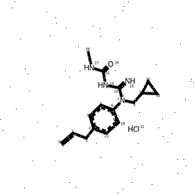 C=CCc1ccc(N(CC2CC2)C(=N)NC(=O)NC)cc1.Cl